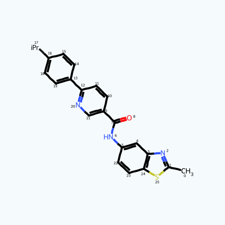 Cc1nc2cc(NC(=O)c3ccc(-c4ccc(C(C)C)cc4)nc3)ccc2s1